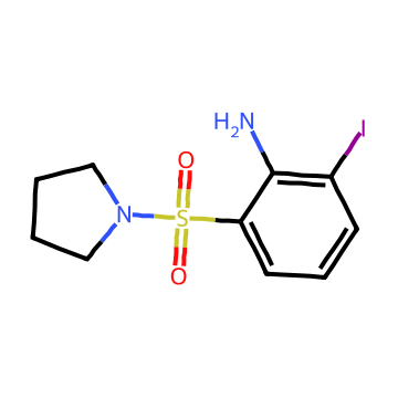 Nc1c(I)cccc1S(=O)(=O)N1CCCC1